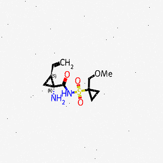 C=C[C@@H]1C[C@]1(N)C(=O)NS(=O)(=O)C1(COC)CC1